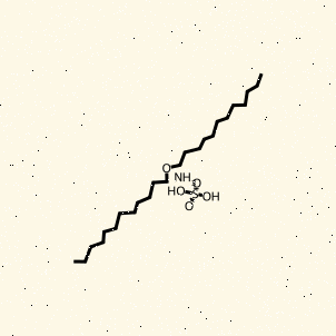 CCCCCCCCCCCCOCCCCCCCCCCCC.N.O=S(=O)(O)O